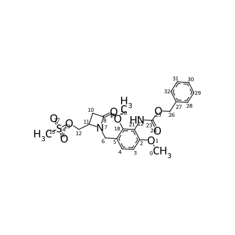 COc1ccc(CN2C(=O)CC2COS(C)(=O)=O)c(OC)c1NC(=O)OCc1ccccc1